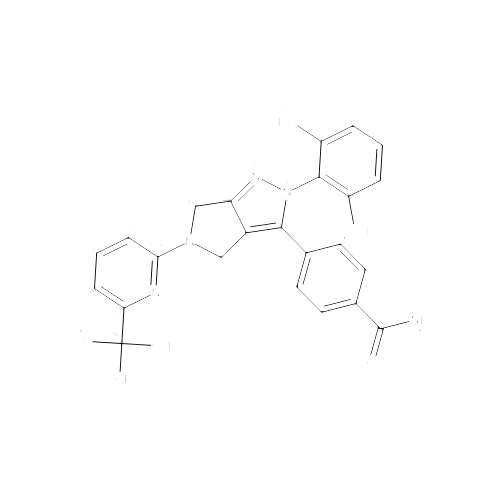 Cc1cccc(C)c1-n1nc2c(c1-c1ccc(C(N)=O)cc1)CN(c1cccc(C(C)(C)C)n1)C2